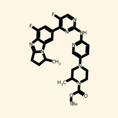 CC1CN(c2ccc(Nc3ncc(F)c(-c4cc(F)c5nc6n(c5c4)C(C)CC6)n3)nc2)CCN1C(=O)OC(C)(C)C